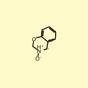 [O-][NH+]1[CH]c2ccccc2OC1